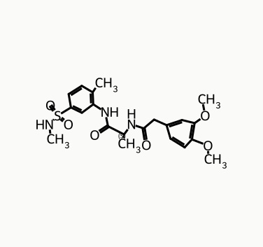 CNS(=O)(=O)c1ccc(C)c(NC(=O)[C@H](C)NC(=O)Cc2ccc(OC)c(OC)c2)c1